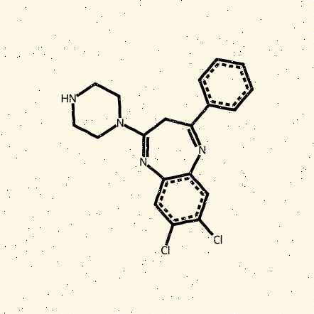 Clc1cc2c(cc1Cl)N=C(N1CCNCC1)CC(c1ccccc1)=N2